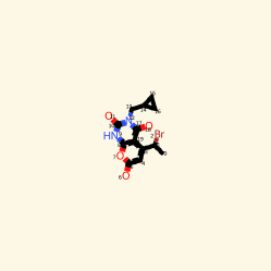 CC(Br)c1cc(=O)oc2[nH]c(=O)n(CC3CC3)c(=O)c12